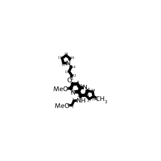 COCCNc1c2c(nc3cc(OCCCN4CCCC4)c(OC)nc13)CC(C)C2